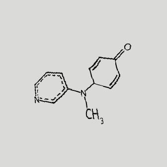 CN(c1cccnc1)C1C=CC(=O)C=C1